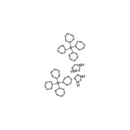 c1c[nH+]c[nH]1.c1c[nH+]c[nH]1.c1ccc([B-](c2ccccc2)(c2ccccc2)c2ccccc2)cc1.c1ccc([B-](c2ccccc2)(c2ccccc2)c2ccccc2)cc1